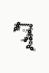 CC1(C)CCC(CN2CCN(c3ccc(C(=O)NS(=O)(=O)c4ccc(NCC5CCCN(CCCCCCCCc6cccc7c6C(=O)N(C6CCC(=O)NC6=O)C7=O)C5)c([N+](=O)[O-])c4)c(Oc4cnc5[nH]ccc5c4)c3)CC2)=C(c2ccc(Cl)cc2)C1